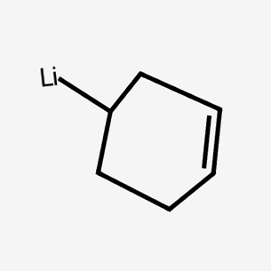 [Li][CH]1CC=CCC1